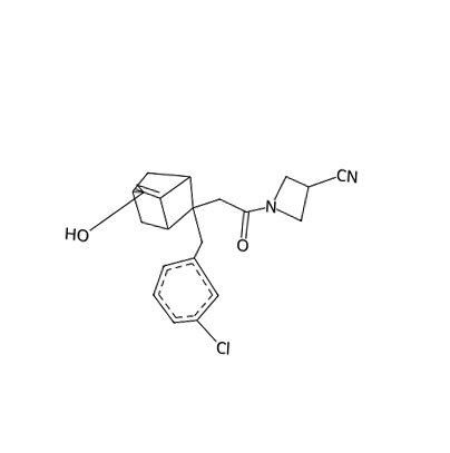 N#CC1CN(C(=O)CC2(Cc3cccc(Cl)c3)C3CC4CC2C3=CC4O)C1